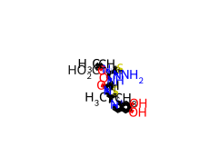 CC1=C(C[n+]2ccc3cc(O)c(O)cc3c2)[C@@H](C)S[C@@H]2[C@H](NC(=O)/C(=N\OC(C)(C)C(=O)O)c3csc(N)n3)C(=O)N12